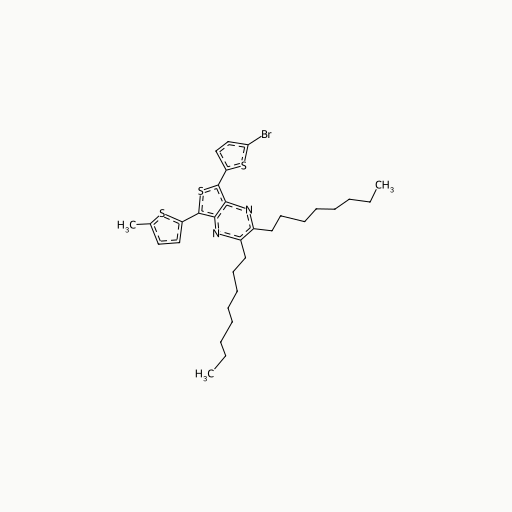 CCCCCCCCc1nc2c(-c3ccc(C)s3)sc(-c3ccc(Br)s3)c2nc1CCCCCCCC